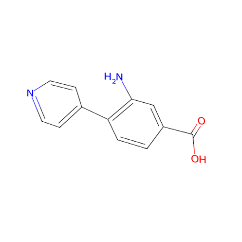 Nc1cc(C(=O)O)ccc1-c1ccncc1